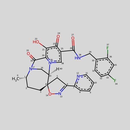 C[C@H]1CC[C@]2(CC(c3ccccn3)=NO2)[C@H]2CN1C(=O)c1c(O)c(=O)c(C(=O)NCc3ccc(F)cc3F)cn12